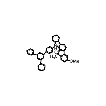 COc1ccc2c(c1)-c1ccc3c4ccccc4n(-c4ccc(-c5cc(-c6ccccc6)cc(-c6ccccc6)c5)cc4)c3c1C2(C)C